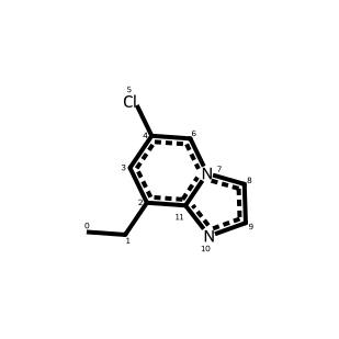 CCc1cc(Cl)cn2ccnc12